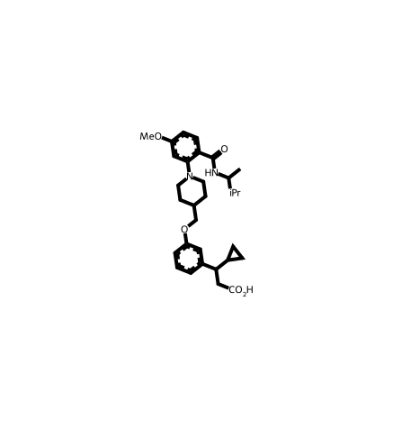 COc1ccc(C(=O)NC(C)C(C)C)c(N2CCC(COc3cccc(C(CC(=O)O)C4CC4)c3)CC2)c1